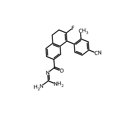 Cc1cc(C#N)ccc1C1=C(F)CCc2ccc(C(=O)N=C(N)N)cc21